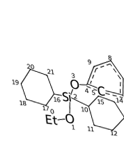 CCO[Si](Oc1ccccc1)(C1CCCCC1)C1CCCCC1